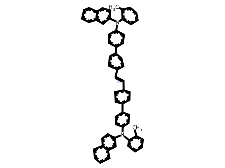 Cc1ccccc1N(c1ccc(-c2ccc(/C=C/c3ccc(-c4ccc(N(c5ccc6ccccc6c5)c5ccccc5C)cc4)cc3)cc2)cc1)c1ccc2ccccc2c1